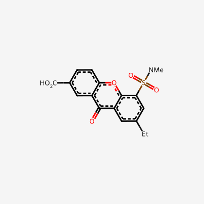 CCc1cc(S(=O)(=O)NC)c2oc3ccc(C(=O)O)cc3c(=O)c2c1